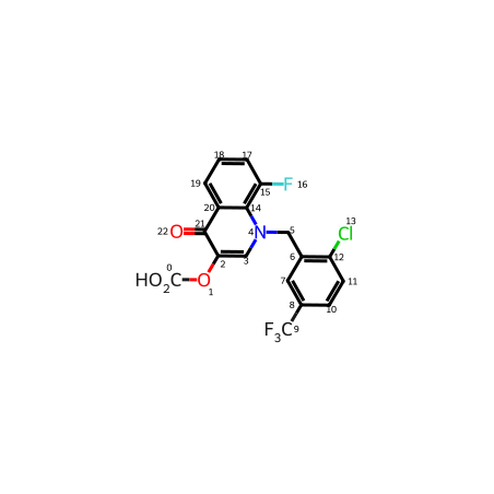 O=C(O)Oc1cn(Cc2cc(C(F)(F)F)ccc2Cl)c2c(F)cccc2c1=O